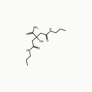 CCCNC(=O)CC(O)(CC(=O)NCCC)C(N)=O